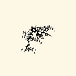 CB(OC(C)(C)C(C)(C)OCOCC[Si](C)(C)C)c1ccc(F)c([C@@]2(C)N=C(N(C)C(=O)OC(C)(C)C)S[C@@]3(C(N)=O)CC32)c1